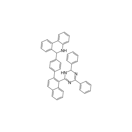 c1ccc(C2=NC(c3ccccc3)NC(c3c(-c4ccc(C5Nc6ccccc6-c6ccccc65)cc4)ccc4ccccc34)=N2)cc1